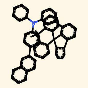 CC1(C)c2ccccc2C2(c3ccccc3-c3cccc(-c4cccc(N(c5ccccc5)c5ccc(-c6ccc7ccccc7c6)cc5)c4)c32)c2ccccc21